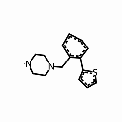 c1csc(-c2ccccc2CN2CC[N]CC2)c1